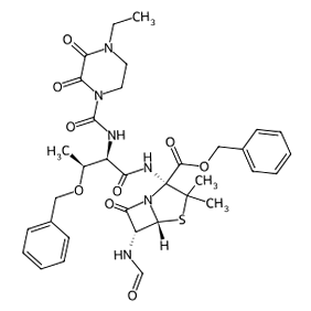 CCN1CCN(C(=O)N[C@@H](C(=O)N[C@@]2(C(=O)OCc3ccccc3)N3C(=O)[C@@H](NC=O)[C@H]3SC2(C)C)[C@H](C)OCc2ccccc2)C(=O)C1=O